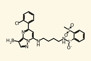 Bc1cnn2c(NCCCCN[S+]([O-])c3ccccc3S(C)(=O)=O)cc(-c3ccccc3Cl)nc12